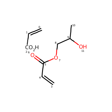 C=CC(=O)O.C=CC(=O)OCC(C)O